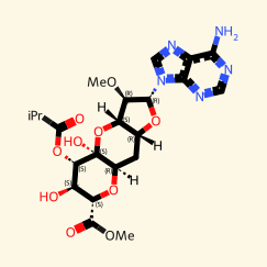 COC(=O)[C@H]1O[C@@H]2C[C@H]3O[C@@H](n4cnc5c(N)ncnc54)[C@H](OC)[C@H]3O[C@]2(O)[C@@H](OC(=O)C(C)C)[C@@H]1O